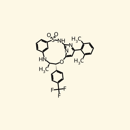 Cc1cccc(C)c1-c1cc2nc(n1)NS(=O)(=O)c1cccc(c1)N[C@H](C)[C@@H](c1ccc(C(F)(F)F)cc1)O2